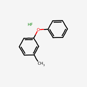 Cc1cccc(Oc2ccccc2)c1.F